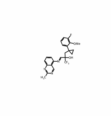 COc1c(F)cccc1C1(CC(O)(C=Nc2cccc3nc(C)ncc23)C(F)(F)F)CC1